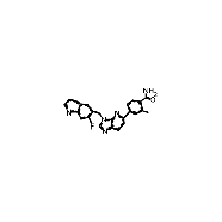 Cc1cc(-c2ccc3ncn(Cc4cc5cccnc5cc4F)c3n2)ccc1C(N)=O